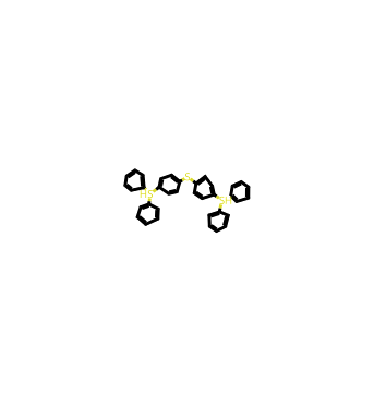 c1ccc([SH](c2ccccc2)c2ccc(Sc3ccc([SH](c4ccccc4)c4ccccc4)cc3)cc2)cc1